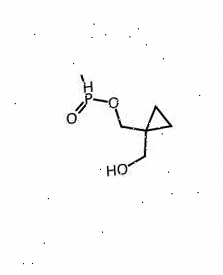 C[PH](=O)OCC1(CO)CC1